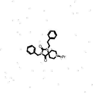 CCCN1CCC2(CC1)C(=O)N(Cc1ccccc1)C(=O)N2CCc1ccccc1